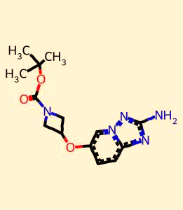 CC(C)(C)OC(=O)N1CC(Oc2ccc3nc(N)nn3c2)C1